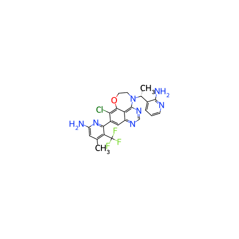 Cc1cc(N)nc(-c2cc3ncnc4c3c(c2Cl)OCCN4[C@H](C)c2cccnc2N)c1C(F)(F)F